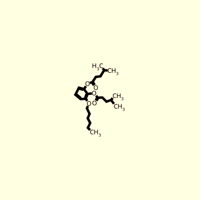 CCCCCCOc1cccc(OC(=O)CCC(C)C)c1OC(=O)CCC(C)C